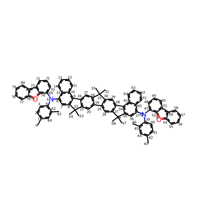 Cc1ccc(N(c2cc3c(c4ccccc24)-c2cc4c(cc2C3(C)C)-c2cc3c(cc2C4(C)C)-c2c(cc(N(c4ccc(C)cc4C)c4cccc5c4oc4ccccc45)c4ccccc24)C3(C)C)c2cccc3c2oc2ccccc23)c(C)c1